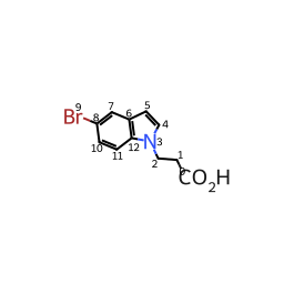 O=C(O)CCn1ccc2cc(Br)ccc21